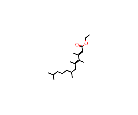 CCOC(=O)/C=C(C)/C(C)=C(\C)CC(C)CCCC(C)C